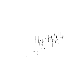 C=CC(=O)NC1CCC(Nc2n[nH]c3c2CN(C(=O)N[C@H](CN(C)C)c2ccccc2)C3(C)C)CC1